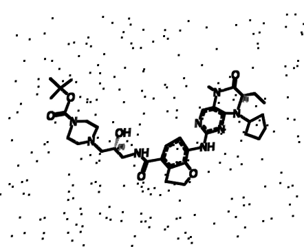 CC[C@@H]1C(=O)N(C)c2cnc(Nc3ccc(C(=O)NC[C@@H](O)CN4CCN(C(=O)OC(C)(C)C)CC4)c4c3OCC4)nc2N1C1CCCC1